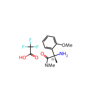 CNC(=O)[C@@](C)(N)c1ccccc1OC.O=C(O)C(F)(F)F